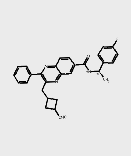 C[C@@H](NC(=O)c1ccc2nc(-c3ccccc3)c(CC3CC([C]=O)C3)nc2c1)c1ccc(F)cc1